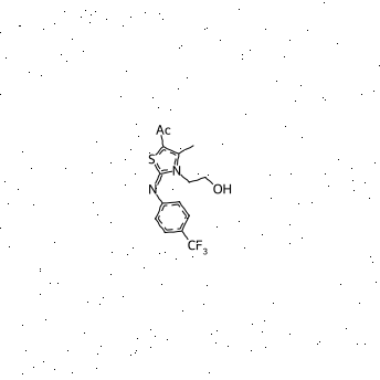 CC(=O)c1sc(=Nc2ccc(C(F)(F)F)cc2)n(CCO)c1C